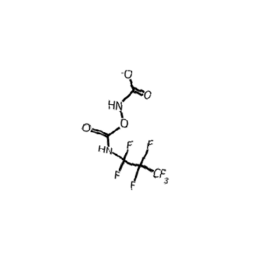 [O]C(=O)NOC(=O)NC(F)(F)C(F)(F)C(F)(F)F